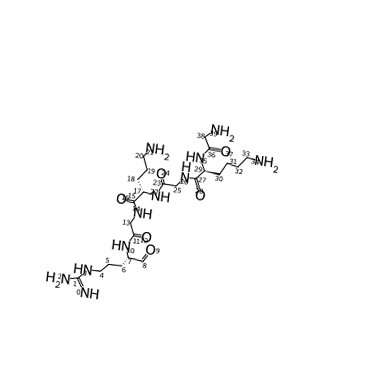 N=C(N)NCCC[C@@H](C=O)NC(=O)CNC(=O)[C@H](CCCN)NC(=O)CNC(=O)[C@H](CCCCN)NC(=O)CN